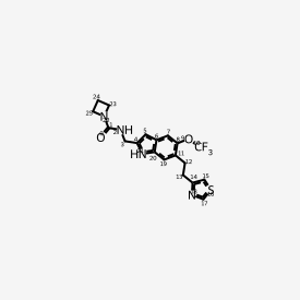 O=C(NCc1cc2cc(OC(F)(F)F)c(CCc3cscn3)cc2[nH]1)N1CCC1